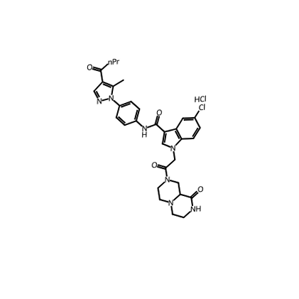 CCCC(=O)c1cnn(-c2ccc(NC(=O)c3cn(CC(=O)N4CCN5CCNC(=O)C5C4)c4ccc(Cl)cc34)cc2)c1C.Cl